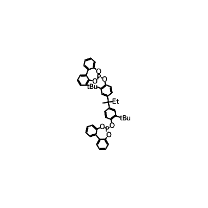 CCC(C)(c1ccc(Op2oc3ccccc3c3ccccc3o2)c(C(C)(C)C)c1)c1ccc(Op2oc3ccccc3c3ccccc3o2)c(C(C)(C)C)c1